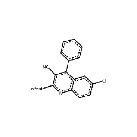 CCCCCc1nc2ccc(Cl)cc2c(-c2ccccc2)c1C#N